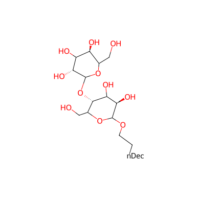 CCCCCCCCCCCCOC1OC(CO)[C@H](OC2OC(CO)[C@H](O)C(O)[C@H]2O)C(O)[C@H]1O